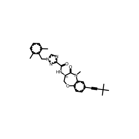 Cc1cccc(C)c1Cn1cnc(C(=O)N[C@@H]2COc3ccc(C#CC(C)(C)C)cc3N(C)C2=O)n1